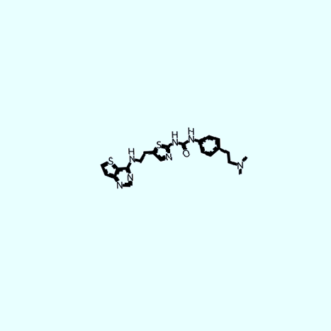 CN(C)CCc1ccc(NC(=O)Nc2ncc(CCNc3ncnc4ccsc34)s2)cc1